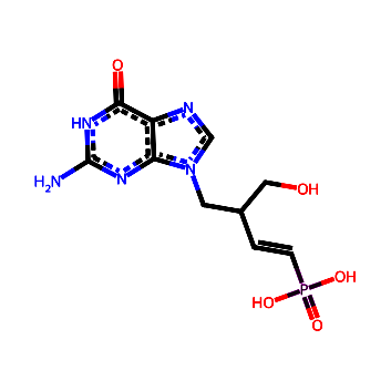 Nc1nc2c(ncn2CC(C=CP(=O)(O)O)CO)c(=O)[nH]1